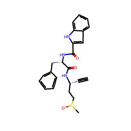 C#C[C@H](CC[S+](C)[O-])NC(=O)[C@H](Cc1ccccc1)NC(=O)c1cc2ccccc2[nH]1